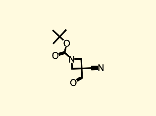 CC(C)(C)OC(=O)N1CC(C#N)(C=O)C1